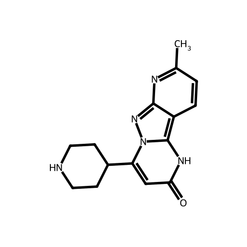 Cc1ccc2c(n1)nn1c(C3CCNCC3)cc(=O)[nH]c21